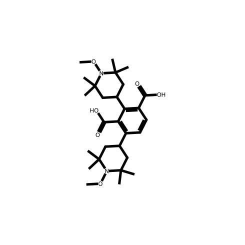 CON1C(C)(C)CC(c2ccc(C(=O)O)c(C3CC(C)(C)N(OC)C(C)(C)C3)c2C(=O)O)CC1(C)C